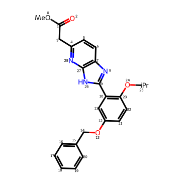 COC(=O)Cc1ccc2nc(-c3cc(OCc4ccccc4)ccc3OC(C)C)[nH]c2n1